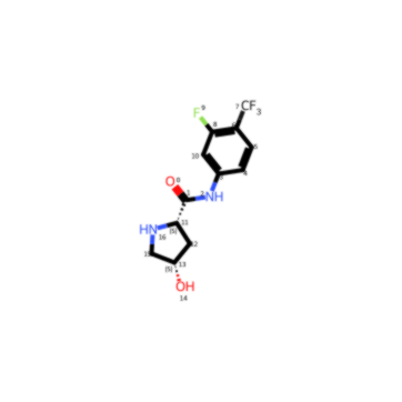 O=C(Nc1ccc(C(F)(F)F)c(F)c1)[C@@H]1C[C@H](O)CN1